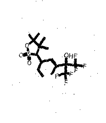 CCC(CC(C)C(O)(C(F)(F)F)C(F)(F)F)C1C(C)(C)C(C)(C)OS1(=O)=O